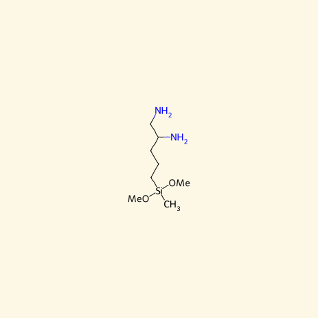 CO[Si](C)(CCCC(N)CN)OC